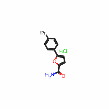 CC(C)c1ccc(-c2ccc(C(N)=O)o2)cc1.Cl